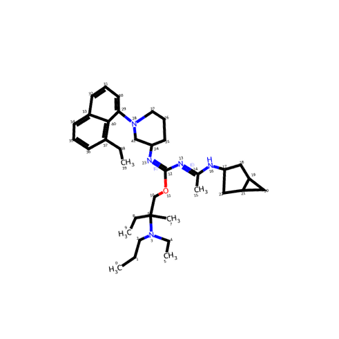 CCCN(CC)C(C)(CC)COC(/N=C(\C)NC1CC2CC2C1)=N/C1CCCN(c2cccc3cccc(CC)c23)C1